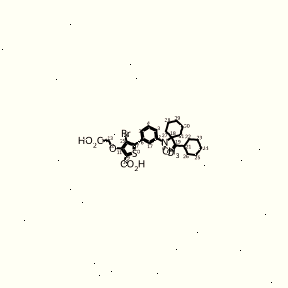 CN(c1cccc(-c2sc(C(=O)O)c(OCC(=O)O)c2Br)c1)C1(C(=O)C2CCCCC2)CCCCC1